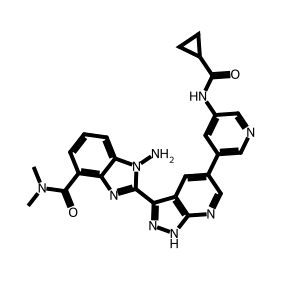 CN(C)C(=O)c1cccc2c1nc(-c1n[nH]c3ncc(-c4cncc(NC(=O)C5CC5)c4)cc13)n2N